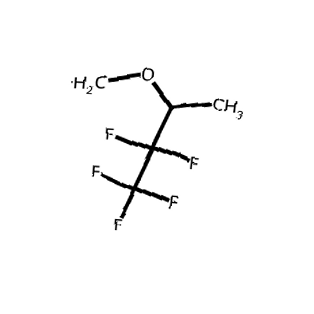 [CH2]OC(C)C(F)(F)C(F)(F)F